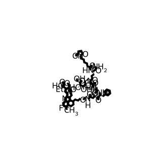 CC[C@@]1(O)C(=O)OCc2c1cc1n(c2=O)Cc2c-1nc1cc(F)c(C)c3c1c2C(CCCOCNC(=O)CNC(=O)[C@H](Cc1ccccc1)NC(=O)CNC(=O)CN(C[C@@H]1O[C@H](CO)[C@@H](O)[C@H](O)[C@H]1O)C(=O)CC[C@H](NC(=O)CCCCCN1C(=O)C=CC1=O)C(N)=O)CC3